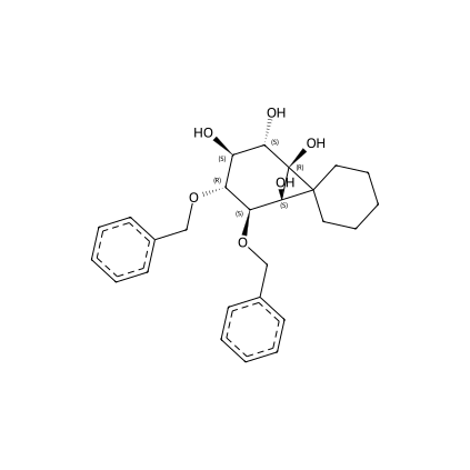 O[C@@H]1[C@@H](OCc2ccccc2)[C@H](OCc2ccccc2)[C@@]2(O)C3(CCCCC3)[C@@]2(O)[C@H]1O